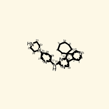 c1cc2c(cn1)C1(CCCCCC1)c1nc(Nc3ccc(N4CCNCC4)cn3)ncc1-2